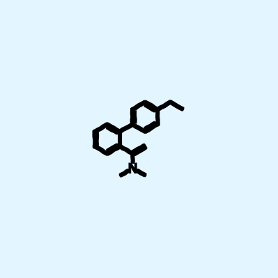 C=C(c1ccccc1-c1ccc(CC)cc1)N(C)C